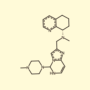 CN1CCN(C2NC=Cc3nc(CN(C)[C@H]4CCCc5cccnc54)cn32)CC1